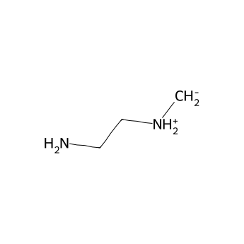 [CH2-][NH2+]CCN